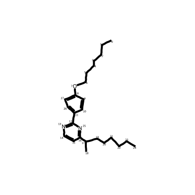 CCCCCCCOc1ccc(-c2nccc(C(C)CCCCCC)n2)cc1